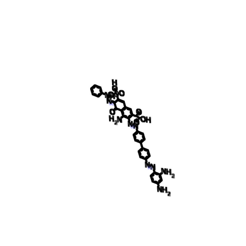 Nc1ccc(/N=N/c2ccc(-c3ccc(/N=N/c4c(S(=O)(=O)O)cc5c(c4N)C(=O)/C(=N/Nc4ccccc4)C(S(=O)(=O)O)=C5)cc3)cc2)c(N)c1